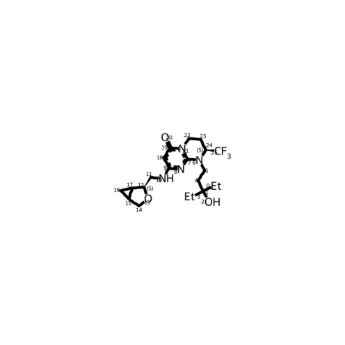 CCC(O)(CC)CCN1c2nc(NC[C@H]3OCC4CC43)cc(=O)n2CC[C@H]1C(F)(F)F